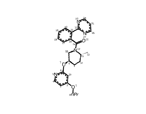 CCCOc1ccnc(O[C@@H]2CC[C@@H](C)N(C(=O)c3ccccc3-c3ncccn3)C2)c1